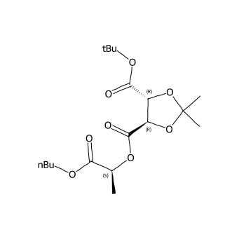 CCCCOC(=O)[C@H](C)OC(=O)[C@@H]1OC(C)(C)O[C@H]1C(=O)OC(C)(C)C